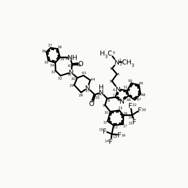 CN(C)CCCn1c(C(Cc2cc(C(F)(F)F)cc(C(F)(F)F)c2)NC(=O)N2CCC(N3CCc4ccccc4NC3=O)CC2)nc2ccccc21